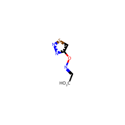 O=C(O)C=NOc1csnn1